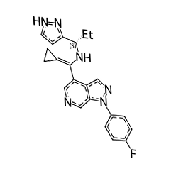 CC[C@H](NC(=C1CC1)c1cncc2c1cnn2-c1ccc(F)cc1)c1cc[nH]n1